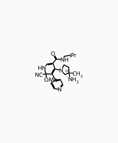 COC1(C#N)NC=C(C(=O)NCC(C)C)C(N2CC[C@](C)(N)C2)=C1c1ccncc1